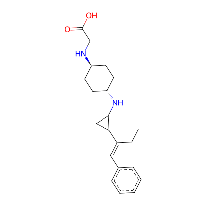 CC/C(=C\c1ccccc1)C1CC1N[C@H]1CC[C@H](NCC(=O)O)CC1